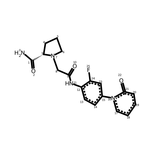 NC(=O)[C@@H]1[CH]CCN1CC(=O)Nc1ccc(-n2ccccc2=O)cc1F